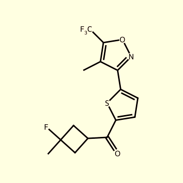 Cc1c(-c2ccc(C(=O)C3CC(C)(F)C3)s2)noc1C(F)(F)F